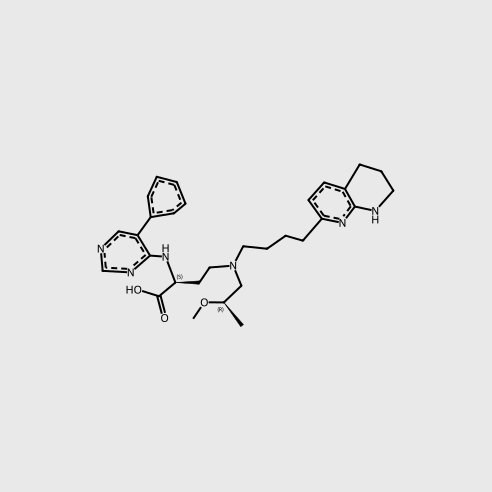 CO[C@H](C)CN(CCCCc1ccc2c(n1)NCCC2)CC[C@H](Nc1ncncc1-c1ccccc1)C(=O)O